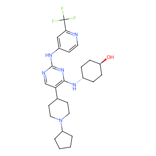 O[C@H]1CC[C@H](Nc2nc(Nc3ccnc(C(F)(F)F)c3)ncc2C2CCN(C3CCCC3)CC2)CC1